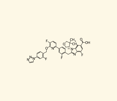 CC1(C)COC[C@H]1n1c(Cc2ccc(-c3ccc(F)c(OCc4ccc(-n5ccnn5)cc4F)n3)cc2F)nc2c(F)cc(C(=O)O)cc21